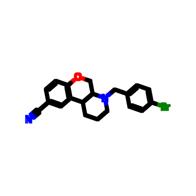 N#Cc1ccc2c(c1)C1CCCN(Cc3ccc(Br)cc3)C1CO2